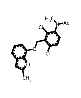 CC(=O)N(C)c1ccc(Cl)c(COc2cccc3cc(C)oc23)c1Cl